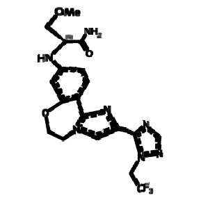 COC[C@H](Nc1ccc2c(c1)OCCn1cc(-c3ncnn3CC(F)(F)F)nc1-2)C(N)=O